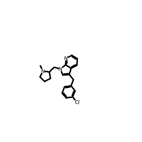 CN1CCCC1Cn1cc(Cc2cccc(Cl)c2)c2cccnc21